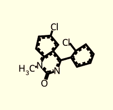 Cn1c(=O)nc(-c2ccccc2Cl)c2cc(Cl)ccc21